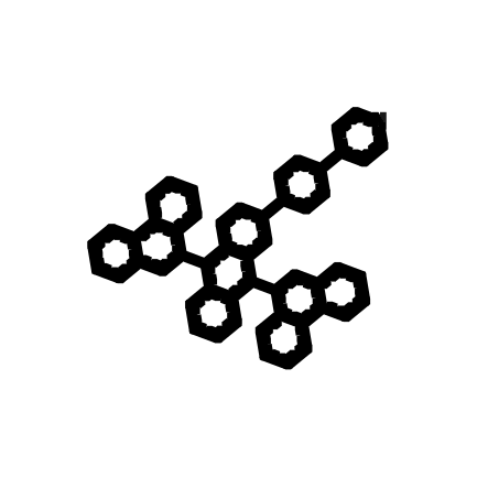 c1ccc2c(c1)cc(-c1c3ccccc3c(-c3cc4ccccc4c4ccccc34)c3cc(-c4ccc(-c5ccncc5)cc4)ccc13)c1ccccc12